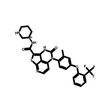 Cc1cc(Oc2ccccc2C(F)(F)F)ccc1N1C(=O)Nc2c(C(=O)N[C@@H]3CCCNC3)sc3nccc1c23